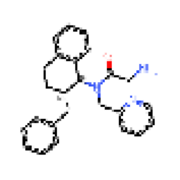 NCC(=O)N(Cc1ccccn1)[C@@H]1c2ccccc2CC[C@H]1Cc1ccccc1